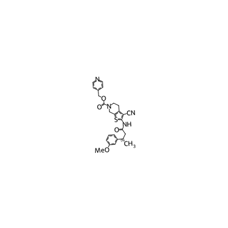 COc1cccc([C@@H](C)CC(=O)Nc2sc3c(c2C#N)CCN(C(=O)OCc2ccncc2)C3)c1